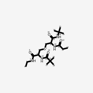 CCNC(=O)C(CSCC(NC(=O)CC)C(=O)NC(C)(C)C)NC(=O)C(C)(C)C